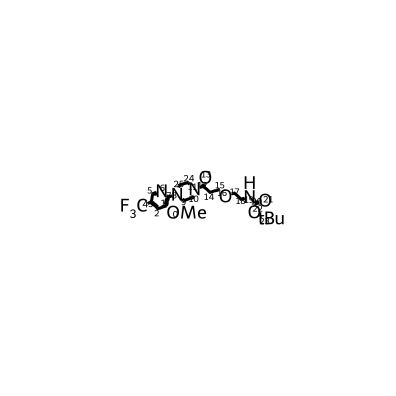 COc1cc(C(F)(F)F)cnc1N1CCN(C(=O)CCOCCNC(=O)OC(C)(C)C)CC1